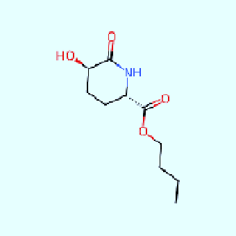 CCCCOC(=O)[C@@H]1CC[C@@H](O)C(=O)N1